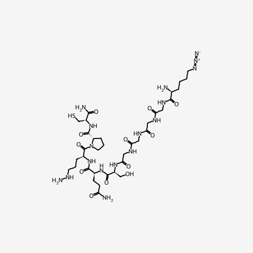 [N-]=[N+]=NCCCC[C@H](N)C(=O)NCC(=O)NCC(=O)NCC(=O)NCC(=O)N[C@@H](CO)C(=O)N[C@@H](CCC(N)=O)C(=O)N[C@@H](CCCNN)C(=O)N1CCC[C@H]1C(=O)N[C@@H](CS)C(N)=O